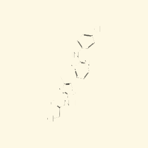 Cc1nc(NC(=O)CCl)sc1-c1ccnc(Nc2ccc(Cl)cc2)n1